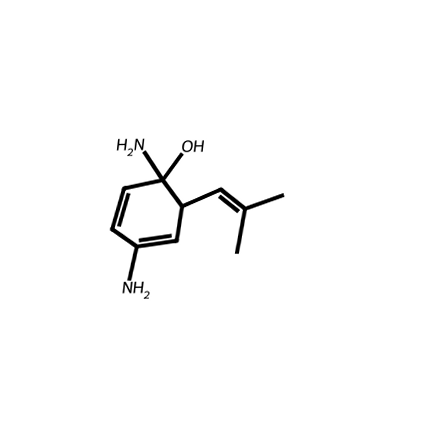 CC(C)=CC1C=C(N)C=CC1(N)O